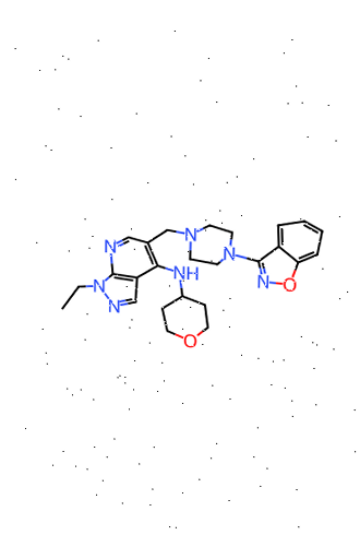 CCn1ncc2c(NC3CCOCC3)c(CN3CCN(c4noc5ccccc45)CC3)cnc21